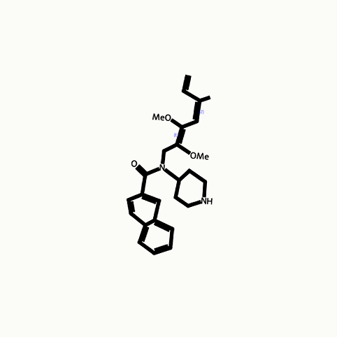 C=C/C(C)=C\C(OC)=C(\CN(C(=O)c1ccc2ccccc2c1)C1CCNCC1)OC